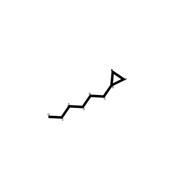 CC[CH]CCCC1CC1